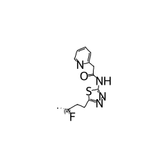 [CH2][C@@H](F)CCc1nnc(NC(=O)Cc2ccccn2)s1